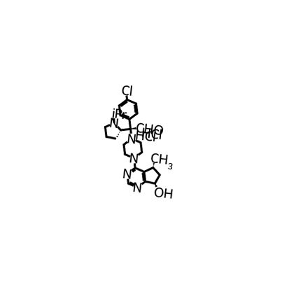 CC(C)N1CCC[C@H]1[C@](C=O)(c1ccc(Cl)cc1)N1CCN(c2ncnc3c2[C@H](C)C[C@H]3O)CC1.Cl.Cl